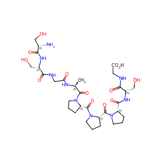 C[C@H](NC(=O)CNC(=O)[C@H](CO)NC(=O)[C@@H](N)CO)C(=O)N1CCC[C@H]1C(=O)N1CCC[C@H]1C(=O)N1CCC[C@H]1C(=O)N[C@@H](CO)C(=O)NCC(=O)O